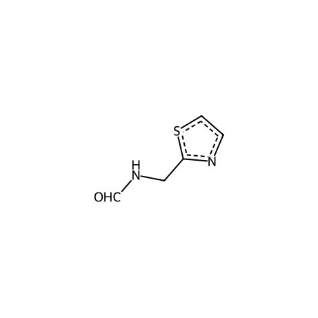 O=CNCc1nccs1